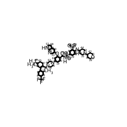 Cc1cc(C(F)(F)F)ccc1C1=C(CN2CCN(c3ccc(C(=O)NS(=O)(=O)c4ccc(NC5CCN(C6CCOCC6)CC5)c([N+](=O)[O-])c4)c(Oc4cnc5[nH]ccc5c4)c3)CC2)CCC(C)(C)C1